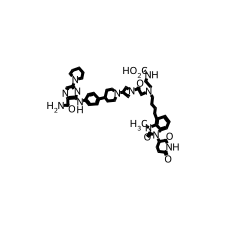 Cn1c(=O)n(C2CCC(=O)NC2=O)c2cccc(CCCCN(CCNC(=O)O)CC(=O)N3CC(N4CCC(c5ccc(Nc6nc(N7CCCCC7)cnc6C(N)=O)cc5)CC4)C3)c21